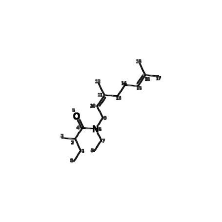 CCC(C)C(=O)N(CC)C/C=C(/C)CCC=C(C)C